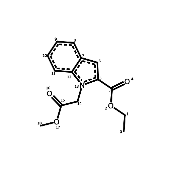 CCOC(=O)c1cc2ccccc2n1CC(=O)OC